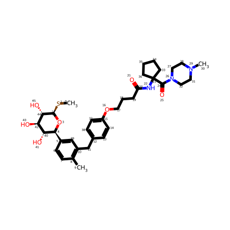 CS[C@H]1O[C@@H](c2ccc(C)c(Cc3ccc(OCCCC(=O)NC4(C(=O)N5CCN(C)CC5)CCCC4)cc3)c2)[C@H](O)[C@@H](O)[C@@H]1O